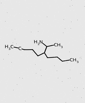 CCCCCC(CCCC)C(C)N